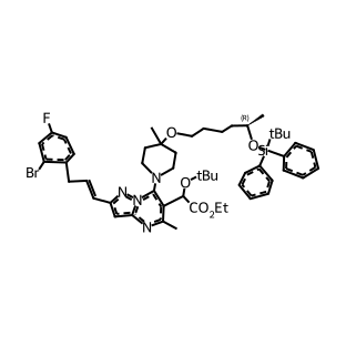 CCOC(=O)C(OC(C)(C)C)c1c(C)nc2cc(C=CCc3ccc(F)cc3Br)nn2c1N1CCC(C)(OCCCC[C@@H](C)O[Si](c2ccccc2)(c2ccccc2)C(C)(C)C)CC1